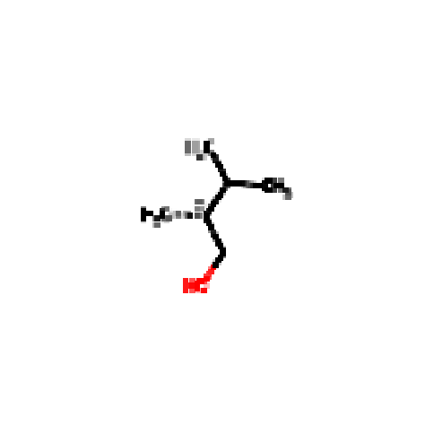 CC(C)[C@@H](C)CO